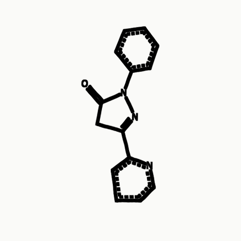 O=C1CC(c2ccccn2)=NN1c1ccccc1